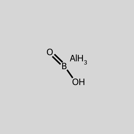 O=BO.[AlH3]